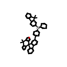 CC1(C)c2ccccc2-c2ccc(N(c3ccccc3)c3ccc(-c4ccc5c(c4)C4(c6ccccc6-5)c5ccccc5C(C)(C)c5ccccc54)cc3)cc21